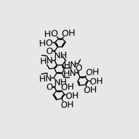 CCNC(NC(=O)c1ccc(O)c(O)c1O)c1c(CC)c(C(NCC)NC(=O)c2ccc(O)c(O)c2O)c(CC)c(C(NCC)NC(=O)c2ccc(O)c(O)c2O)c1CC